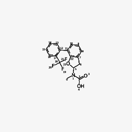 CN(C(=O)O)C1Cc2cccc(-c3ccccc3C(F)(F)F)c2O1